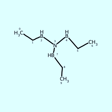 CCBN(BCC)BCC